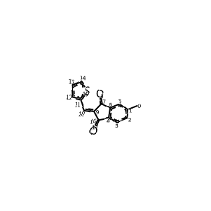 Cc1ccc2c(c1)C(=O)C(=Cc1cccs1)C2=O